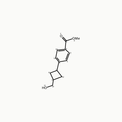 COC(=O)c1ccc(C2CC(CO)C2)cc1